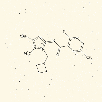 Cn1c(C(C)(C)C)c/c(=N/C(=O)c2cc(C(F)(F)F)ccc2F)n1CC1CCC1